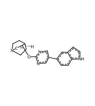 c1cc2cc(-c3cnc(O[C@H]4CN5CCC4CC5)nc3)ccc2[nH]1